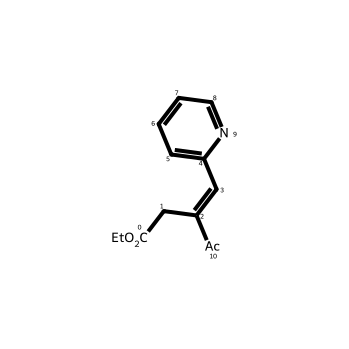 CCOC(=O)CC(=Cc1ccccn1)C(C)=O